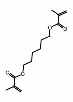 C=C(C)C(=O)O[CH]CCCC[CH]OC(=O)C(=C)C